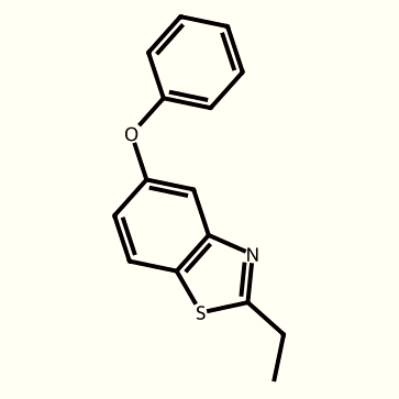 CCc1nc2cc(Oc3ccccc3)ccc2s1